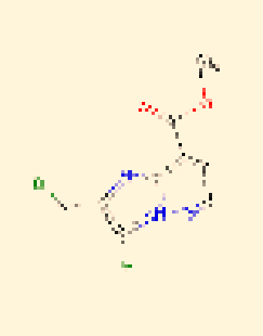 COC(=O)c1ccnn2c(Br)c(CBr)nc12